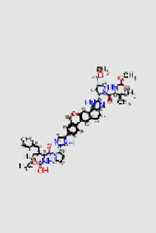 C=C(/C=C\C=C/C)[C@@H](NC(O)OC)C(=O)N1CCC[C@H]1c1ncc(-c2ccc3c(c2)COc2cc4c(ccc5nc([C@@H]6C[C@H](COC)CN6C(=O)[C@@H](NC(=O)OC)C(C)C)[nH]c54)cc2-3)[nH]1